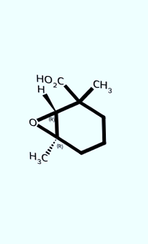 CC1(C(=O)O)CCC[C@@]2(C)O[C@H]12